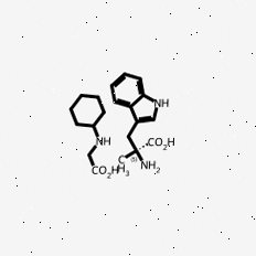 C[C@](N)(Cc1c[nH]c2ccccc12)C(=O)O.O=C(O)CNC1CCCCC1